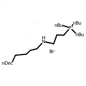 CCCCCCCCCCCCCCNCCC[P+](CCCC)(CCCC)CCCC.[Br-]